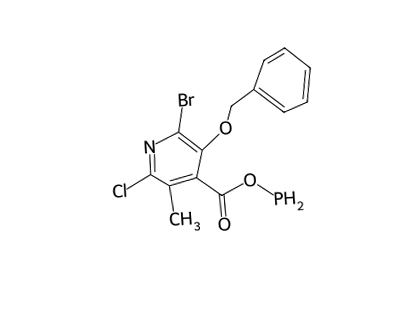 Cc1c(Cl)nc(Br)c(OCc2ccccc2)c1C(=O)OP